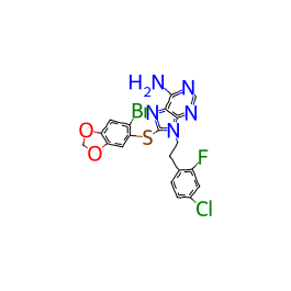 Nc1ncnc2c1nc(Sc1cc3c(cc1Br)OCO3)n2CCc1ccc(Cl)cc1F